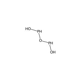 OPOPO